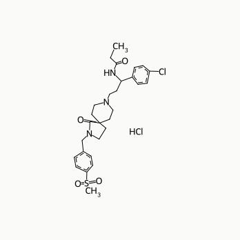 CCC(=O)NC(CCN1CCC2(CC1)CCN(Cc1ccc(S(C)(=O)=O)cc1)C2=O)c1ccc(Cl)cc1.Cl